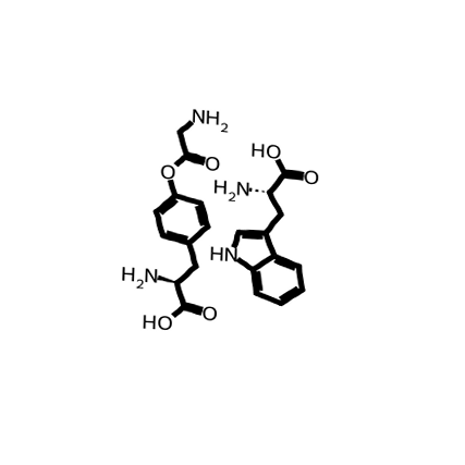 NCC(=O)Oc1ccc(C[C@H](N)C(=O)O)cc1.N[C@@H](Cc1c[nH]c2ccccc12)C(=O)O